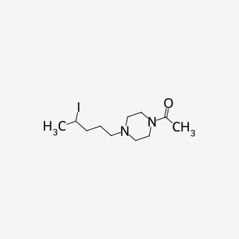 CC(=O)N1CCN(CCCC(C)I)CC1